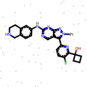 CC(C)n1nc2nc(Nc3ccc4c(c3)CCNC4)ncc2c1-c1ccc(F)c(C2(O)CCC2)n1